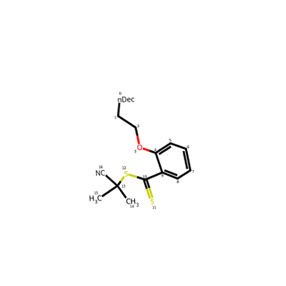 CCCCCCCCCCCCOc1ccccc1C(=S)SC(C)(C)C#N